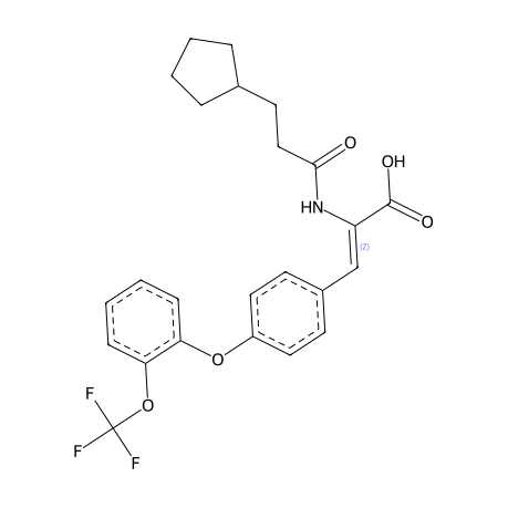 O=C(CCC1CCCC1)N/C(=C\c1ccc(Oc2ccccc2OC(F)(F)F)cc1)C(=O)O